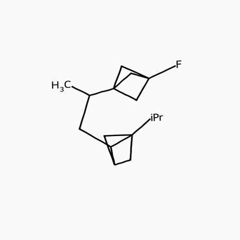 CC(CC1C2CC1(C(C)C)C2)C12CC(F)(C1)C2